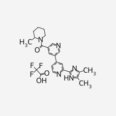 Cc1nc(-c2cc(-c3cncc(C(=O)N4CCCCC4C)c3)ccn2)[nH]c1C.O=C(O)C(F)(F)F